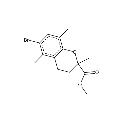 COC(=O)C1(C)CCc2c(C)c(Br)cc(C)c2O1